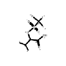 CC(C)C(OS(=O)(=O)C(F)(F)F)C(=O)O